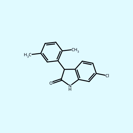 Cc1ccc(C)c(C2C(=O)Nc3cc(Cl)ccc32)c1